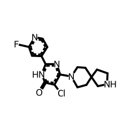 O=c1[nH]c(-c2ccnc(F)c2)nc(N2CCC3(CCNC3)CC2)c1Cl